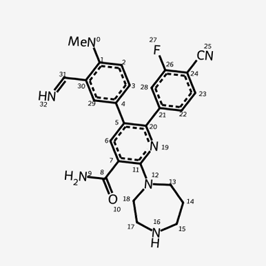 CNc1ccc(-c2cc(C(N)=O)c(N3CCCNCC3)nc2-c2ccc(C#N)c(F)c2)cc1C=N